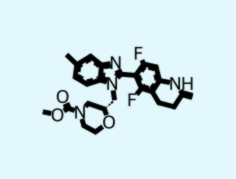 C=C1CCc2c(cc(F)c(-c3nc4cc(C)ccc4n3C[C@H]3CN(C(=O)OC)CCO3)c2F)N1